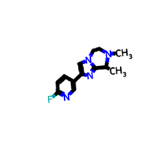 CC1c2nc(-c3ccc(F)nc3)cn2CCN1C